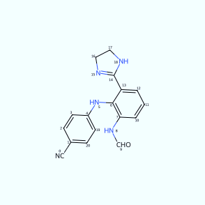 N#Cc1ccc(Nc2c(NC=O)cccc2C2=NCCN2)cc1